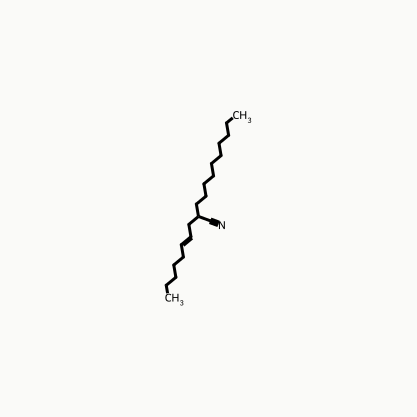 CCCCCC=CCC(C#N)CCCCCCCCCC